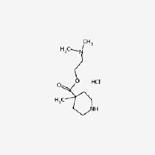 CN(C)CCOC(=O)C1(C)CCNCC1.Cl